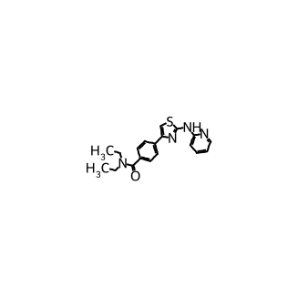 CCN(CC)C(=O)c1ccc(-c2csc(Nc3ccccn3)n2)cc1